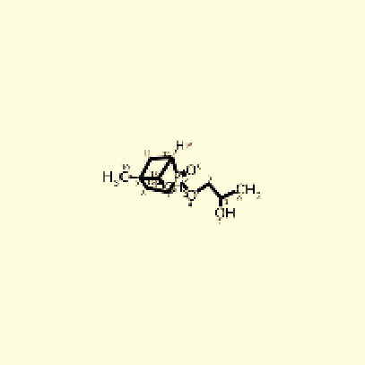 CC(O)COP1(=O)CC[C@]2(C)C[C@@H]1[C@H]2C